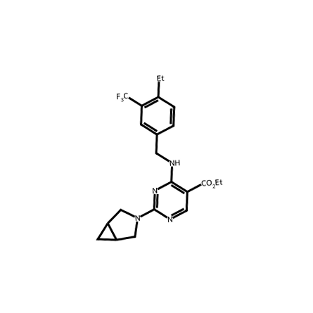 CCOC(=O)c1cnc(N2CC3CC3C2)nc1NCc1ccc(CC)c(C(F)(F)F)c1